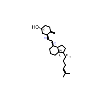 C=C1CC[C@H](O)C/C1=C/C=C1\CCC[C@@]2(C)C1CCC2[C@H](C)CCC=C(C)C